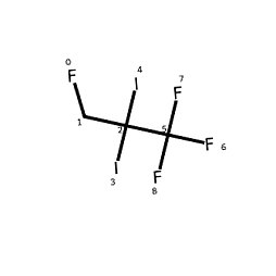 FCC(I)(I)C(F)(F)F